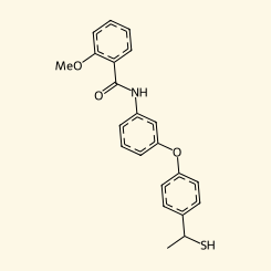 COc1ccccc1C(=O)Nc1cccc(Oc2ccc(C(C)S)cc2)c1